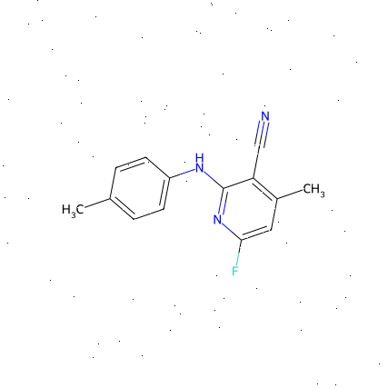 Cc1ccc(Nc2nc(F)cc(C)c2C#N)cc1